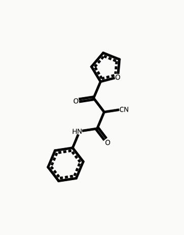 N#CC(C(=O)Nc1ccccc1)C(=O)c1ccco1